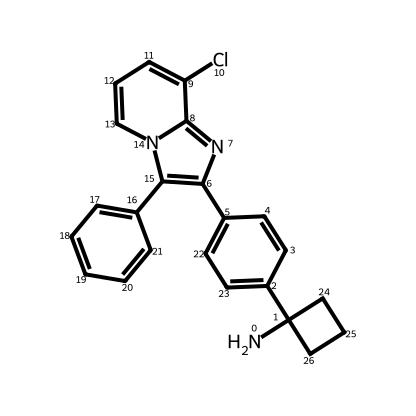 NC1(c2ccc(-c3nc4c(Cl)cccn4c3-c3ccccc3)cc2)CCC1